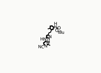 Cc1nc(C#N)cc(Nc2cc(CCc3cc(NC(=O)OC(C)(C)C)ccc3C)n[nH]2)n1